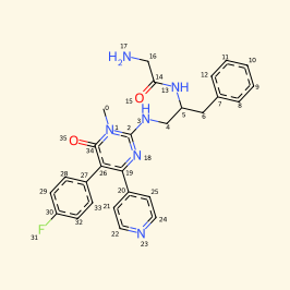 Cn1c(NCC(Cc2ccccc2)NC(=O)CN)nc(-c2ccncc2)c(-c2ccc(F)cc2)c1=O